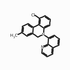 Cc1ccc2c(c1)CN(c1cccc3cccnc13)c1cccc(Cl)c1-2